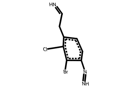 N=CCc1ccc(N=N)c(Br)c1Cl